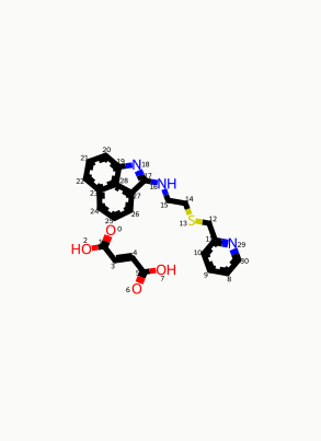 O=C(O)C=CC(=O)O.c1ccc(CSCCNC2=Nc3cccc4cccc2c34)nc1